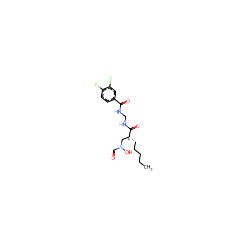 CCCCC[C@H](CN(O)C=O)C(=O)NCNC(=O)c1ccc(F)c(F)c1